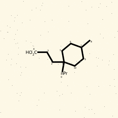 CCCC1([CH]CC(=O)O)CCC(C)CC1